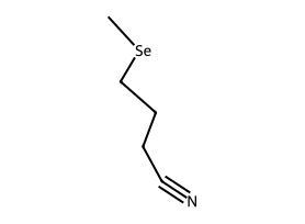 C[Se]CCCC#N